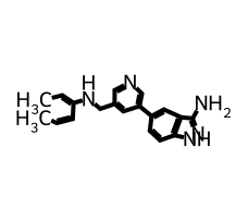 C/C=C\C(=C/C)NCc1cncc(-c2ccc3[nH]nc(N)c3c2)c1